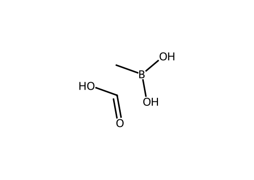 CB(O)O.O=CO